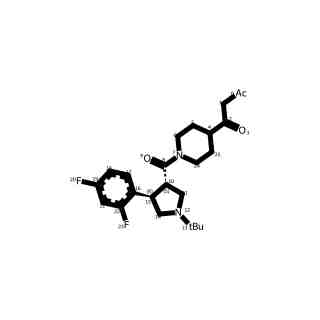 CC(=O)CC(=O)C1CCN(C(=O)[C@@H]2CN(C(C)(C)C)C[C@H]2c2ccc(F)cc2F)CC1